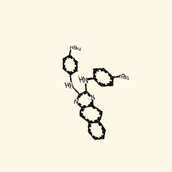 CCCCc1ccc(Nc2nc3cc4ccccc4cc3nc2Nc2ccc(CCCC)cc2)cc1